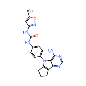 CC(C)(C)c1cc(NC(=O)Nc2ccc(-n3c4c(c5ncnc(N)c53)CCC4)cc2)no1